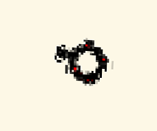 CC[C@H](C)[C@@H]1NC(=O)[C@H](C)N(C)C(=O)C[C@@H](C(=O)N2CCCCC2)N(C)C(=O)[C@H](C(C)C)N(C)C(=O)C2(CCCC2)NC(=O)[C@@H]2CCCN2C(=O)[C@H](CCc2ccc(C(F)(F)F)c(Cl)c2)NC(=O)[C@@H](C)N(C)C(=O)[C@H](CC2CCCCC2)N(C)C(=O)CN(C)C(=O)CN(C)C1=O